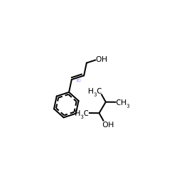 CC(C)C(C)O.OC/C=C/c1ccccc1